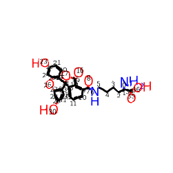 NC(CCCCNC(=O)c1cccc2c1C(=O)OC21c2ccc(O)cc2Oc2cc(O)ccc21)C(=O)O